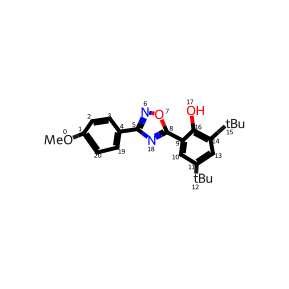 COc1ccc(-c2noc(-c3cc(C(C)(C)C)cc(C(C)(C)C)c3O)n2)cc1